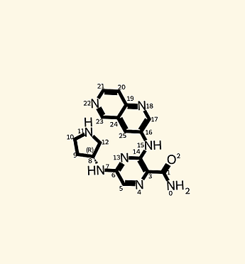 NC(=O)c1ncc(N[C@@H]2CCNC2)nc1Nc1cnc2ccncc2c1